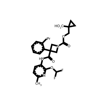 Cc1ccc(NC(=O)C2(c3ccccc3C(C)C)CN(C(=O)OCC3(C(=O)O)CC3)C2)c(OC(F)F)n1